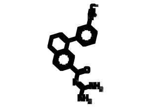 [C-]#[N+]c1cccc(C2=CCCc3ccc(C(=O)N=C(N)N)cc32)c1